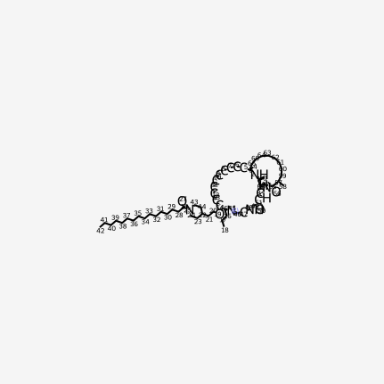 C=C1NC2(C)CCCCCCCCCCC(CCC)(OCCC3CCN(C(=O)CCCCCCCCCCCCCCC)CC3)/N=C/CNC(=O)CC[C@@H]1NC(=O)C(C)CCCCCCCC2